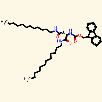 CCCCCCCCCCCCNC(=O)B[C@H](NC(=O)OCC1c2ccccc2-c2ccccc21)C(=O)NCCCCCCCCCCCC